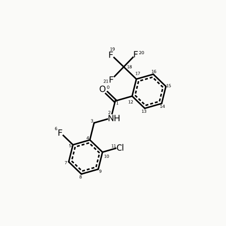 O=C(NCc1c(F)cccc1Cl)c1ccccc1C(F)(F)F